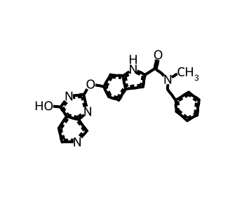 CN(Cc1ccccc1)C(=O)c1cc2ccc(Oc3nc(O)c4ccncc4n3)cc2[nH]1